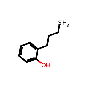 Oc1ccccc1CCC[SiH3]